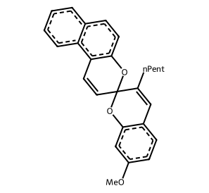 CCCCCC1=Cc2ccc(OC)cc2OC12C=Cc1c(ccc3ccccc13)O2